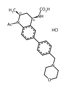 CC(=O)N1c2ccc(-c3ccc(CN4CCOCC4)cc3)cc2[C@H](NC(=O)O)C[C@@H]1C.Cl